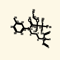 C=C[Si](C)(C=C)CCCN(C(=O)C(F)(OCF)C(F)(F)F)c1cccc(C)c1